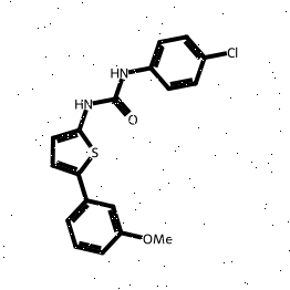 COc1cccc(-c2ccc(NC(=O)Nc3ccc(Cl)cc3)s2)c1